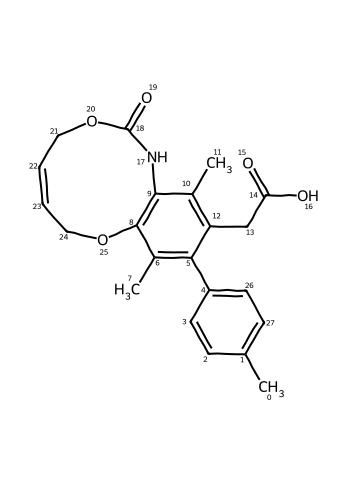 Cc1ccc(-c2c(C)c3c(c(C)c2CC(=O)O)NC(=O)OC/C=C\CO3)cc1